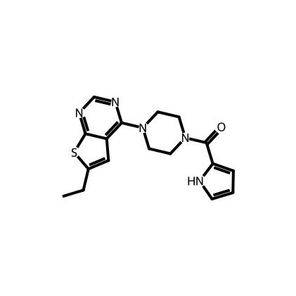 CCc1cc2c(N3CCN(C(=O)c4ccc[nH]4)CC3)ncnc2s1